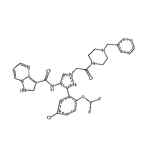 O=C(Nc1cn(CC(=O)N2CCN(Cc3ccccc3)CC2)nc1-c1cc(Cl)ccc1OC(F)F)C1=C2N=CC=CN2NC1